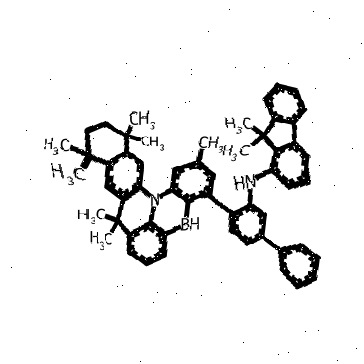 Cc1cc(-c2ccc(-c3ccccc3)cc2Nc2cccc3c2C(C)(C)c2ccccc2-3)c2c(c1)N1c3cc4c(cc3C(C)(C)c3cccc(c31)B2)C(C)(C)CCC4(C)C